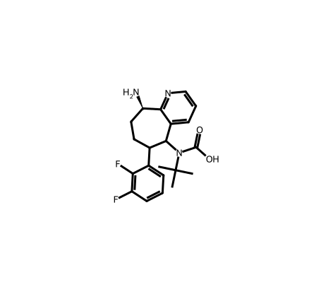 CC(C)(C)N(C(=O)O)C1c2cccnc2[C@H](N)CCC1c1cccc(F)c1F